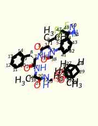 CC(C)[C@@H](C(=O)N[C@@H](Cc1ccccc1)C(=O)N[C@@H](C)C(=O)NCB1O[C@@H]2C[C@@H]3C[C@@H](C3(C)C)[C@]2(C)O1)N(C=O)c1cccc(C2(C(F)(F)F)N=N2)c1